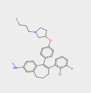 CNc1ccc2c(c1)CCCC(c1cccc(F)c1Cl)=C2c1ccc(OC2CCN(CCCF)C2)cc1